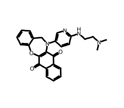 CN(C)CCNc1ccc(N2Cc3ccccc3OC3=C2C(=O)c2ccccc2C3=O)cn1